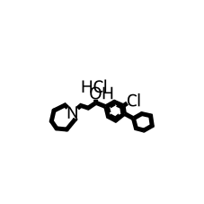 Cl.OC(CCN1CCCCCC1)c1ccc(C2CCCCC2)c(Cl)c1